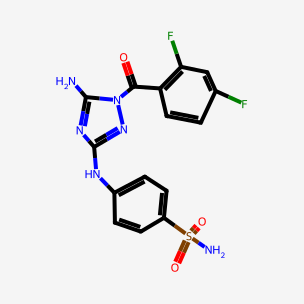 Nc1nc(Nc2ccc(S(N)(=O)=O)cc2)nn1C(=O)c1ccc(F)cc1F